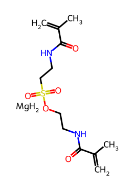 C=C(C)C(=O)NCCOS(=O)(=O)CCNC(=O)C(=C)C.[MgH2]